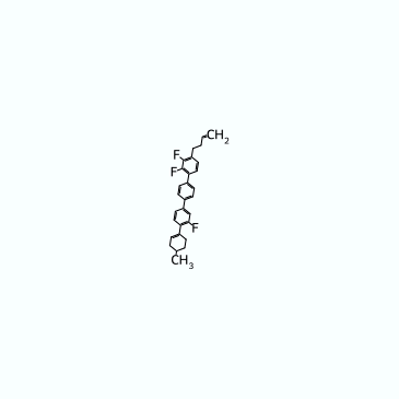 C=CCCc1ccc(-c2ccc(-c3ccc(C4=CCC(C)CC4)c(F)c3)cc2)c(F)c1F